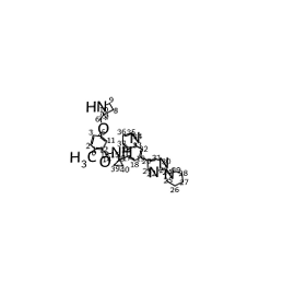 Cc1ccc(OC[C@@H]2CCN2)cc1C(=O)NC1(c2cc(-c3cnc(N4CCCCC4)nc3)cc3ncccc23)CC1